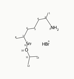 Br.CC(N)CCC[CH](C)[Sn][O]C(C)C